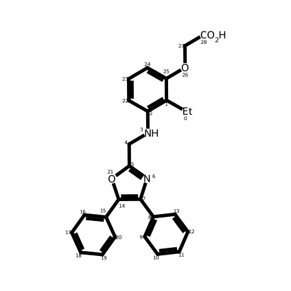 CCc1c(NCc2nc(-c3ccccc3)c(-c3ccccc3)o2)cccc1OCC(=O)O